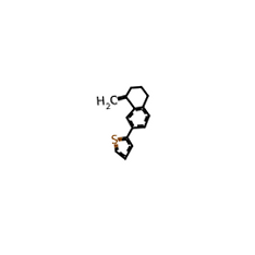 C=C1CCCc2ccc(-c3cccs3)cc21